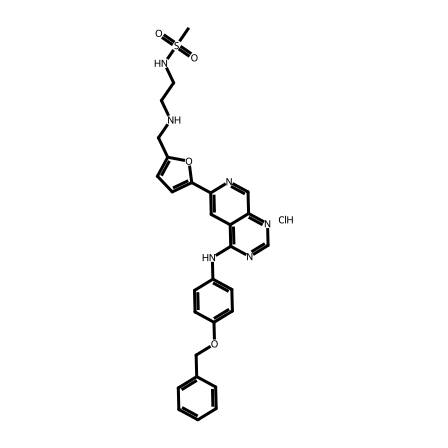 CS(=O)(=O)NCCNCc1ccc(-c2cc3c(Nc4ccc(OCc5ccccc5)cc4)ncnc3cn2)o1.Cl